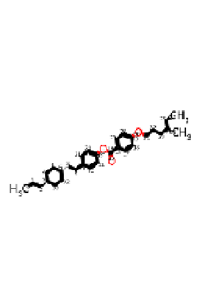 CCC[C@H]1CC[C@H](CCc2ccc(OC(=O)c3ccc(OCCC[C@@H](C)CC)cc3)cc2)CC1